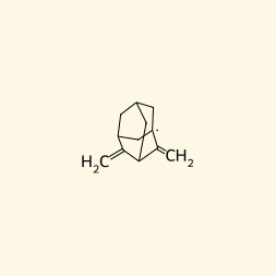 C=C1[C]2CC3CC(C2)C(=C)C1C3